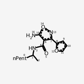 CCCCCC(C)NC(=O)c1c(-c2ccco2)noc1N